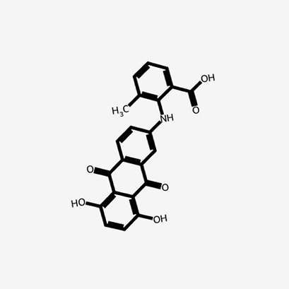 Cc1cccc(C(=O)O)c1Nc1ccc2c(c1)C(=O)c1c(O)ccc(O)c1C2=O